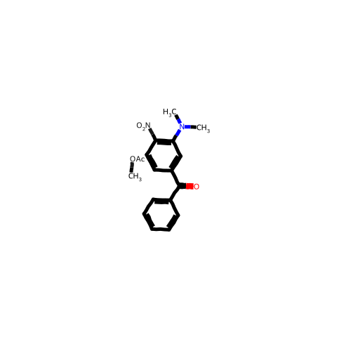 CN(C)c1cc(C(=O)c2ccccc2)ccc1[N+](=O)[O-].COC(C)=O